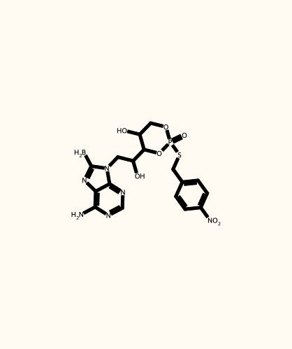 Bc1nc2c(N)ncnc2n1CC(O)C1OP(=O)(SCc2ccc([N+](=O)[O-])cc2)OCC1O